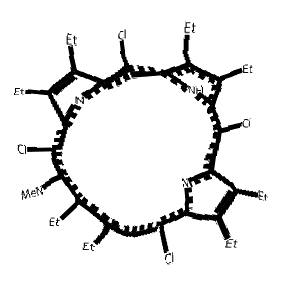 CCC1=C(CC)c2nc1c(Cl)cc(CC)c(CC)c(NC)c(Cl)c1nc(c(Cl)c3[nH]c(c2Cl)c(CC)c3CC)C(CC)=C1CC